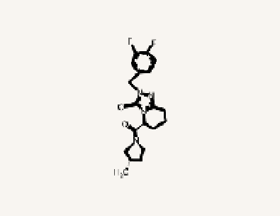 C[C@H]1CCN(C(=O)[C@@H]2CCCc3nn(Cc4ccc(F)c(F)c4)c(=O)n32)C1